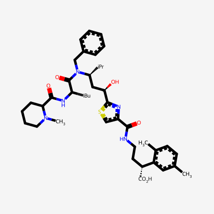 CCC(C)C(NC(=O)C1CCCCN1C)C(=O)N(Cc1ccccc1)[C@H](C[C@@H](O)c1nc(C(=O)NCC[C@@H](C(=O)O)c2cc(C)ccc2C)cs1)C(C)C